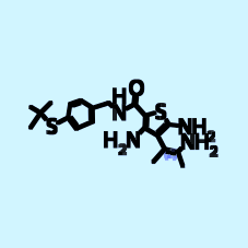 C/C(N)=C(\C)c1c(N)sc(C(=O)NCc2ccc(SC(C)(C)C)cc2)c1N